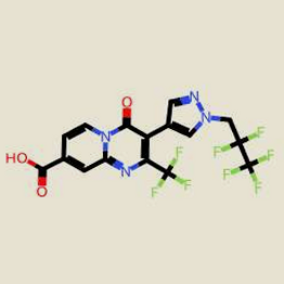 O=C(O)c1ccn2c(=O)c(-c3cnn(CC(F)(F)C(F)(F)F)c3)c(C(F)(F)F)nc2c1